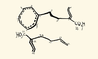 C=C(CCc1ccccc1)C(=O)O.C=CCCC(=C)C(=O)O